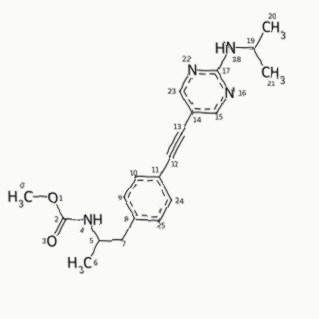 COC(=O)NC(C)Cc1ccc(C#Cc2cnc(NC(C)C)nc2)cc1